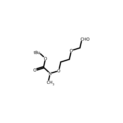 CN(OCCOCC=O)C(=O)OC(C)(C)C